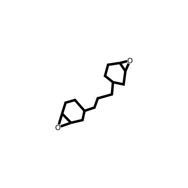 C(CC1CCC2OC2C1)CC1CCC2OC2C1